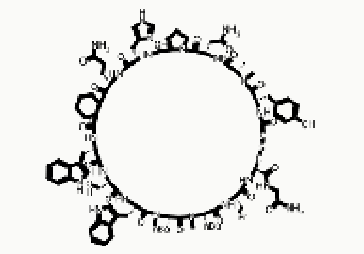 CCCC[C@H]1C(=O)N(C)[C@@H](CCCC)C(=O)N[C@@H](CC(C)C)C(=O)N[C@H](C(=O)NCC(N)=O)CSCC(=O)N[C@@H](Cc2ccc(O)cc2)C(=O)N(C)[C@@H](C)C(=O)N[C@@H](CC(N)=O)C(=O)N2CCC[C@H]2C(=O)N[C@@H](Cc2c[nH]cn2)C(=O)N[C@@H](CCC(N)=O)C(=O)C2CCCC[C@H]2C(=O)N[C@@H](Cc2c[nH]c3ccccc23)C(=O)N[C@@H](CO)C(=O)N[C@@H](Cc2c[nH]c3ccccc23)C(=O)N1C